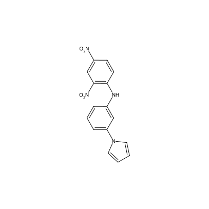 O=[N+]([O-])c1ccc(Nc2cccc(-n3cccc3)c2)c([N+](=O)[O-])c1